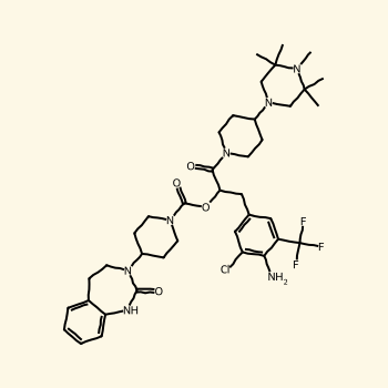 CN1C(C)(C)CN(C2CCN(C(=O)C(Cc3cc(Cl)c(N)c(C(F)(F)F)c3)OC(=O)N3CCC(N4CCc5ccccc5NC4=O)CC3)CC2)CC1(C)C